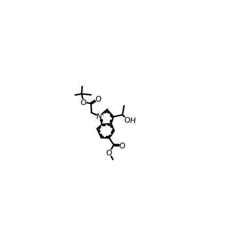 COC(=O)c1ccc2c(c1)c(C(C)O)cn2CC(=O)OC(C)(C)C